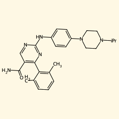 Cc1cccc(C)c1-c1nc(Nc2ccc(N3CCN(C(C)C)CC3)cc2)ncc1C(N)=O